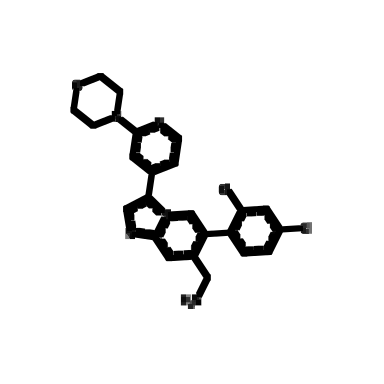 NCc1cc2ncc(-c3ccnc(N4CCOCC4)c3)n2cc1-c1ccc(Cl)cc1Cl